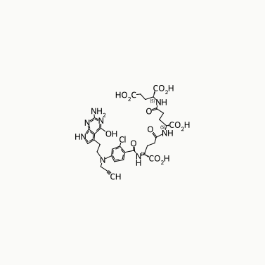 C#CCN(CCc1c[nH]c2nc(N)nc(O)c12)c1ccc(C(=O)N[C@@H](CCC(=O)N[C@@H](CCC(=O)N[C@@H](CCC(=O)O)C(=O)O)C(=O)O)C(=O)O)c(Cl)c1